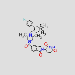 CC1CN(C(=O)c2ccc3c(c2)CN(C2CCC(=O)NC2=O)C3=O)CC(C)N1CC1=C(c2ccc(F)cc2)CC(C)(C)CC1